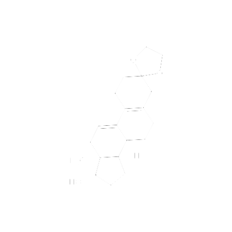 C[C@]12CC=C3C4=C(CC[C@H]3C1CC[C@@H]2O)CC1(CC4)OCCO1